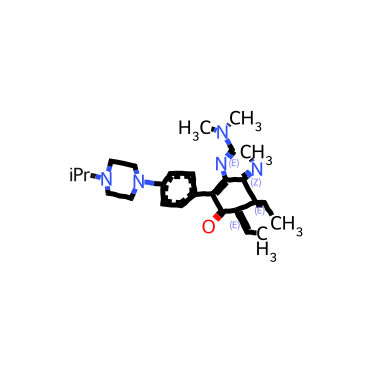 C/C=C1/C(=O)C(c2ccc(N3CCN(C(C)C)CC3)cc2)=C(/N=C/N(C)C)C(=N\C)/C1=C/C